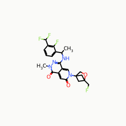 CC(Nc1nn(C)c(=O)c2cc(=O)n(C34COC(CF)(C3)C4)cc12)c1cccc(C(F)F)c1F